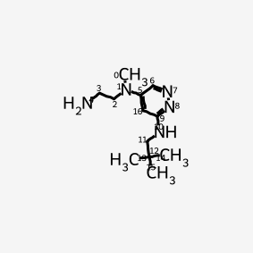 CN(CCN)c1cnnc(NCC(C)(C)C)c1